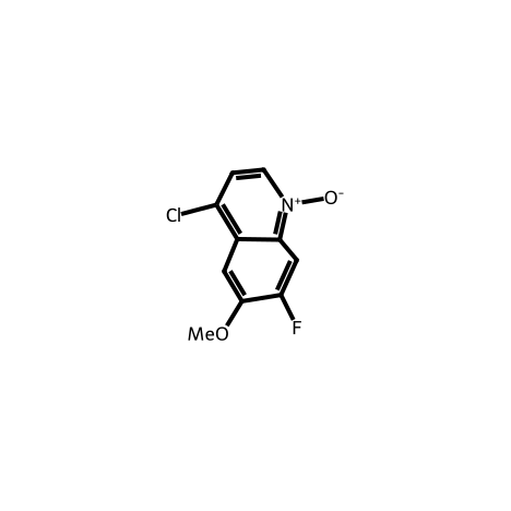 COc1cc2c(Cl)cc[n+]([O-])c2cc1F